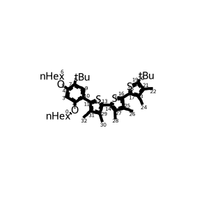 CCCCCCOc1cc(OCCCCCC)c(C(C)(C)C)cc1-c1sc(-c2sc(-c3sc(C(C)(C)C)c(C)c3C)c(C)c2C)c(C)c1C